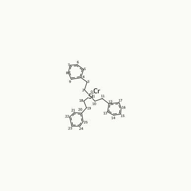 [Cr][Si](CCc1ccccc1)(CCc1ccccc1)CCc1ccccc1